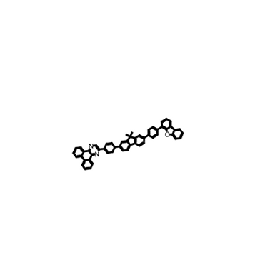 CC1(C)c2cc(-c3ccc(-c4cccc5c4oc4ccccc45)cc3)ccc2-c2ccc(C3C=CC(c4cnc5c6ccccc6c6ccccc6c5n4)=CC3)cc21